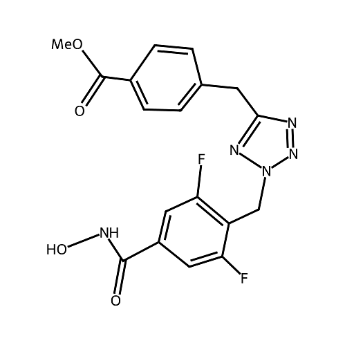 COC(=O)c1ccc(Cc2nnn(Cc3c(F)cc(C(=O)NO)cc3F)n2)cc1